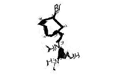 N=C(N)NCc1cccc(Br)c1